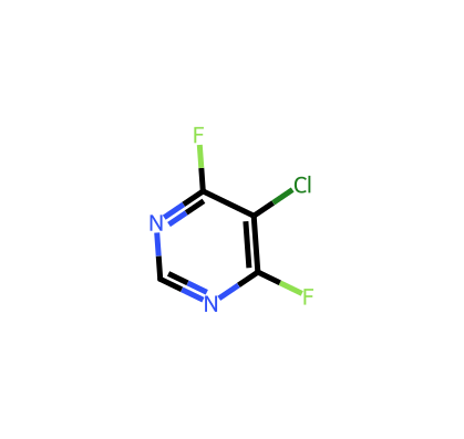 Fc1ncnc(F)c1Cl